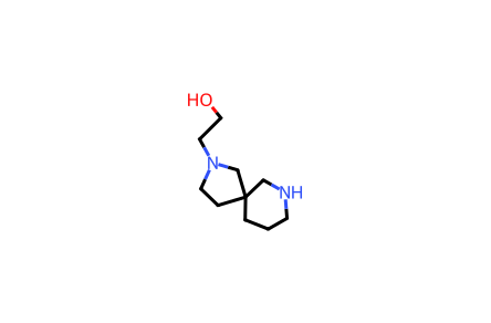 OCCN1CCC2(CCCNC2)C1